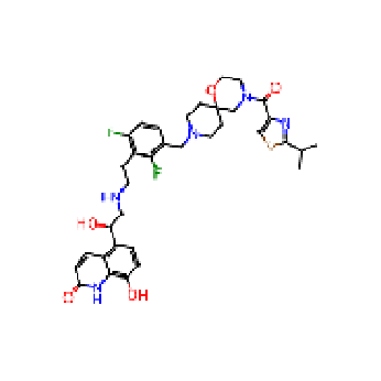 CC(C)c1nc(C(=O)N2CCOC3(CCN(Cc4ccc(F)c(CCNC[C@H](O)c5ccc(O)c6[nH]c(=O)ccc56)c4F)CC3)C2)cs1